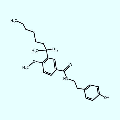 CCCCCCC(C)(C)c1cc(C(=O)NCCc2ccc(O)cc2)ccc1OC